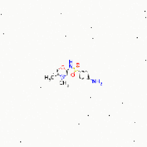 CC1=COC(NS(=O)(=O)c2ccc(N)cc2)=CN1C